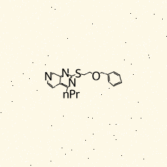 CCCc1nc(SCCOCc2ccccc2)nc2cnccc12